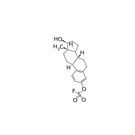 C[C@]12CC[C@@H]3c4ccc(OS(=O)(=O)F)cc4CC[C@H]3[C@@H]1CC[C@@H]2O